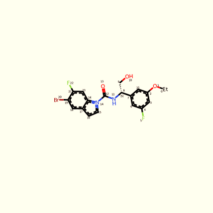 CCOc1cc(F)cc([C@@H](CO)NC(=O)n2ccc3cc(Br)c(F)cc32)c1